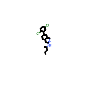 C=C(CCC)Nc1cc2ccc(-c3cc(Cl)ccc3Cl)cc2cn1